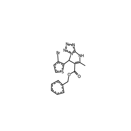 CC1=C(C(=O)OCc2ccccc2)C(c2sccc2Br)n2nnnc2N1